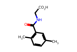 Cc1ccc(C)c(C(=O)NCC(=O)O)c1